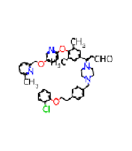 Cc1cccc(COc2ccc(Oc3c(C)cc(/C(=C/C=O)N4CCN(Cc5ccc(CCOc6ccccc6Cl)cc5)CC4)cc3C)nc2)n1